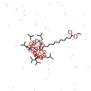 CCOC(=O)CCCCCCCCCC[Si]12O[Si]3(CC(C)C)O[Si]4(CC(C)C)O[Si]5(CC(C)C)O[Si@](CC(C)C)(O3)O[Si](CC(C)C)(O1)O[Si@](CC(C)C)(O5)O[Si@@](CC(C)C)(O2)O4